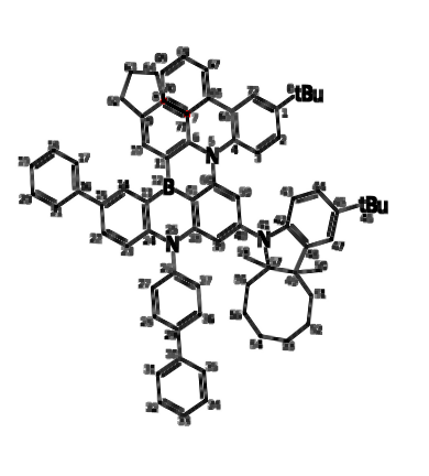 CC(C)(C)c1ccc(N2c3cc4c(cc3B3c5cc(-c6ccccc6)ccc5N(c5ccc(-c6ccccc6)cc5)c5cc(N6c7ccc(C(C)(C)C)cc7C7(C)CCCCCCC67C)cc2c53)CCC4)c(-c2ccccc2)c1